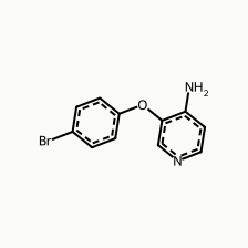 Nc1ccncc1Oc1ccc(Br)cc1